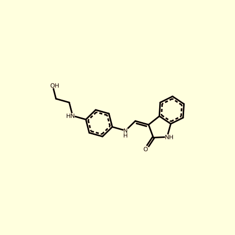 O=C1Nc2ccccc2C1=CNc1ccc(NCCO)cc1